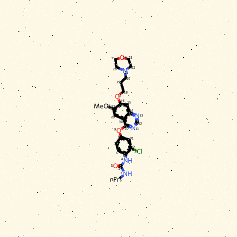 CCCNC(=O)Nc1ccc(Oc2ncnc3cc(OCCCN4CCOCC4)c(OC)cc23)cc1Cl